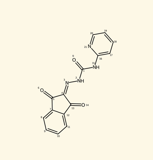 O=C(NN=c1c(=O)c2ccccc2c1=O)Nc1ccccn1